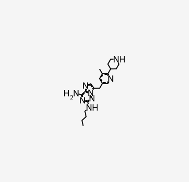 CCCCNc1nc(N)c2ncc(Cc3cnc(C4CCNCC4)c(C)c3)n2n1